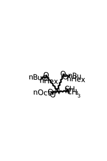 CCCCCCCCOC(=O)CCN(CCCCCN(C)C)C(CCCCCCCCC(=O)OCC(CCCC)CCCCCC)CCCCCCCCC(=O)OCC(CCCC)CCCCCC